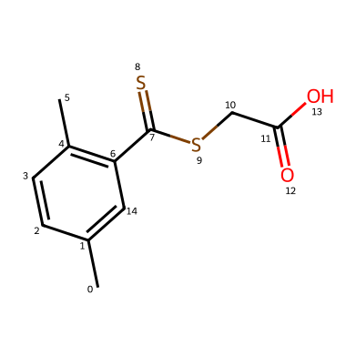 Cc1ccc(C)c(C(=S)SCC(=O)O)c1